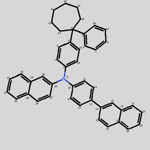 c1ccc(C2(c3ccc(N(c4ccc(-c5ccc6ccccc6c5)cc4)c4ccc5ccccc5c4)cc3)CCCCCC2)cc1